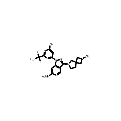 CC(=O)Nc1cc2c(cn1)c(N1CCC3(CN(C)C3)C1)nn2-c1cc(C)nc(C(C)(F)F)n1